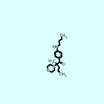 C=CCC(C)(C(=O)c1ccc(NCCCC)cc1)N1CCOCC1